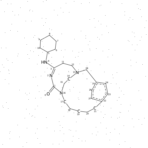 O=C1/N=C(/NC2CCCCC2)CCN2CCN1CCCCCc1ccc(cc1)C2